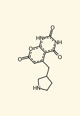 O=c1[nH]c(=O)c2c(CC3CCNC3)cc(=O)oc2[nH]1